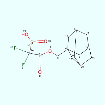 O=C(OCC12CC3CC(CC(C3)C1)C2)C(F)(F)S(=O)O